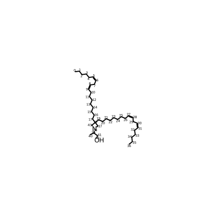 CCCCC/C=C\C/C=C\CCCCCCCCC1(CCCCCCCC/C=C\C/C=C\CCCCC)CN(C(C)CO)C1